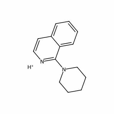 [H+].c1ccc2c(N3CCCCC3)nccc2c1